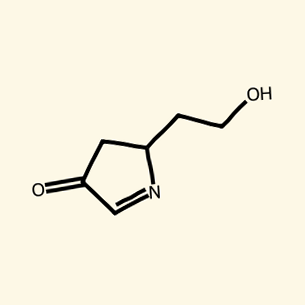 O=C1C=NC(CCO)C1